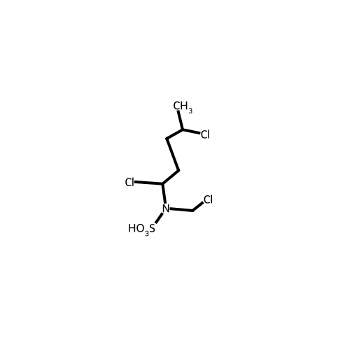 CC(Cl)CCC(Cl)N(CCl)S(=O)(=O)O